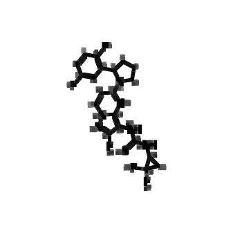 Fc1ccc(F)c(C2CCCN2c2ccn3nc(F)c(NC(=S)NC4CC4(F)F)c3n2)c1